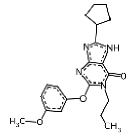 CCCn1c(Oc2cccc(OC)c2)nc2nc(C3CCCC3)[nH]c2c1=O